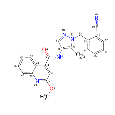 COc1cc(C(=O)Nc2cnn(Cc3ccccc3C#N)c2C)c2ccccc2n1